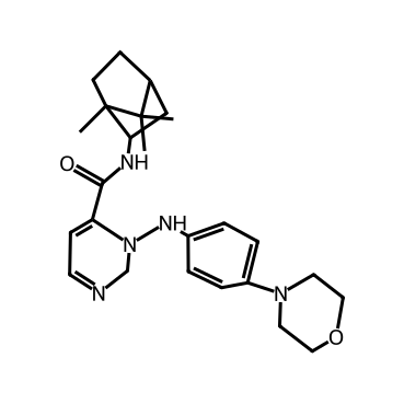 CC1(C)C2CCC1(C)C(NC(=O)C1=CC=NCN1Nc1ccc(N3CCOCC3)cc1)C2